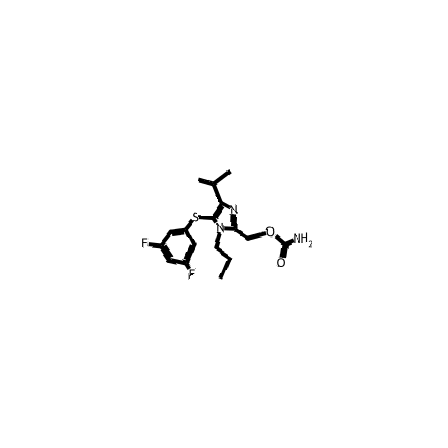 CCCn1c(COC(N)=O)nc(C(C)C)c1Sc1cc(F)cc(F)c1